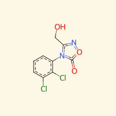 O=c1onc(CO)n1-c1cccc(Cl)c1Cl